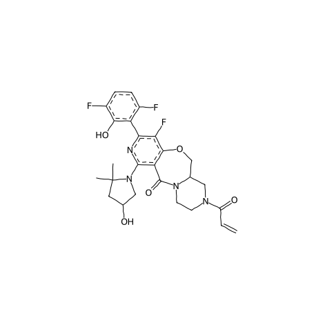 C=CC(=O)N1CCN2C(=O)c3c(N4CC(O)CC4(C)C)nc(-c4c(F)ccc(F)c4O)c(F)c3OCC2C1